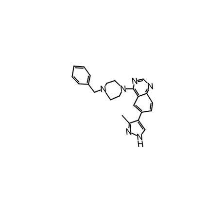 Cc1n[nH]cc1-c1ccc2ncnc(N3CCN(Cc4ccccc4)CC3)c2c1